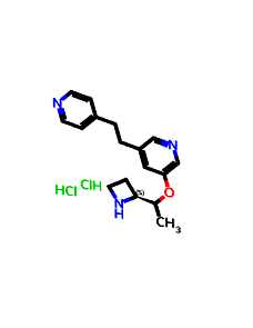 CC(Oc1cncc(CCc2ccncc2)c1)[C@@H]1CCN1.Cl.Cl